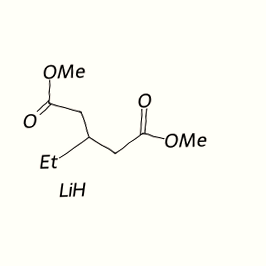 CCC(CC(=O)OC)CC(=O)OC.[LiH]